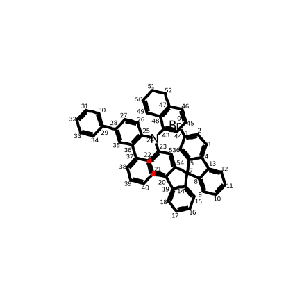 Brc1ccc2c(c1)C1(c3ccccc3-2)c2ccccc2-c2ccc(N(c3ccc(-c4ccccc4)cc3-c3ccccc3)c3cccc4c3C=CCC4)cc21